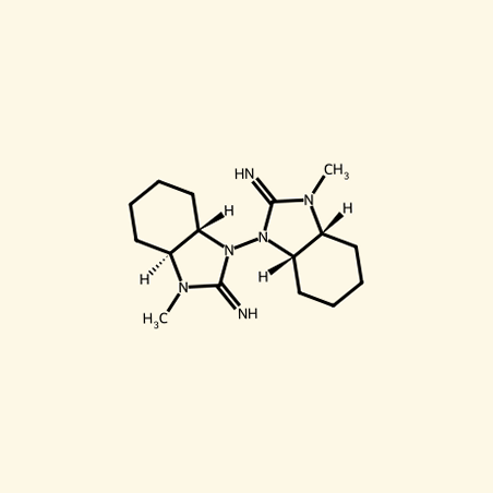 CN1C(=N)N(N2C(=N)N(C)[C@H]3CCCC[C@@H]32)[C@H]2CCCC[C@H]21